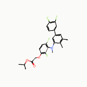 Cc1cc(-c2ccc(F)c(F)c2)cc(N(C)c2c(F)ccc(OCC(=O)OC(C)C)c2F)c1C